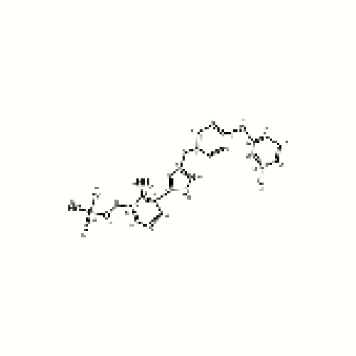 Nc1c(-c2cc(Cc3ccc(Oc4c[n+]([O-])ccn4)cc3)no2)ccc[n+]1COP(=O)([O-])O